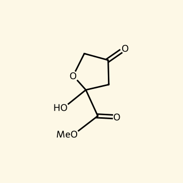 COC(=O)C1(O)CC(=O)CO1